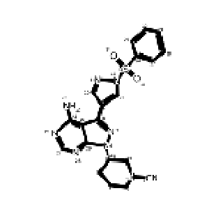 N#CN1CCC[C@@H](n2nc(-c3cnn(S(=O)(=O)c4ccccc4)c3)c3c(N)ncnc32)C1